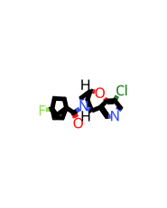 O=C(N1C[C@@H]2C[C@H]1c1cncc(Cl)c1O2)C12CCC(F)(CC1)C2